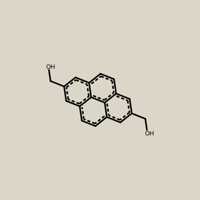 OCc1cc2ccc3cc(CO)cc4ccc(c1)c2c34